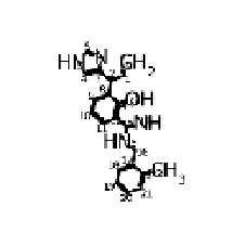 C=CC(c1c[nH]cn1)c1cccc(C(=N)NCc2ccccc2C)c1O